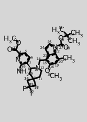 COC(=O)c1ccc([C@@H]2CC3(CCN2Cc2c(OC)cc(C)c4c2ccn4C(=O)OC(C)(C)C)CC(F)(F)C3)c(N)n1